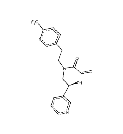 C=CC(=O)N(CCc1ccc(C(F)(F)F)nc1)C[C@@H](O)c1cccnc1